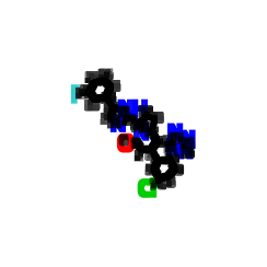 O=c1cc(-c2cc(Cl)ccc2-n2cnnn2)cc2n1[C@H](c1ncc(-c3cccc(F)c3)[nH]1)CC2